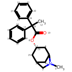 CN1CC2CC1C[C@@H](OC(=O)C(C)(c1ccccc1)c1ccccc1)C2